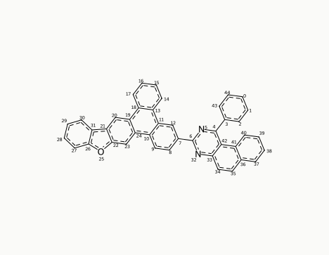 c1ccc(-c2nc(-c3ccc4c(c3)c3ccccc3c3cc5c(cc43)oc3ccccc35)nc3ccc4ccccc4c23)cc1